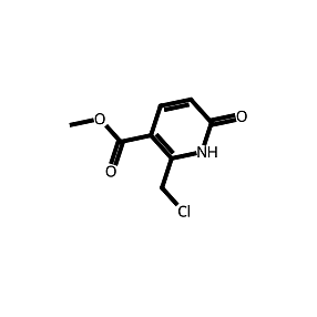 COC(=O)c1ccc(=O)[nH]c1CCl